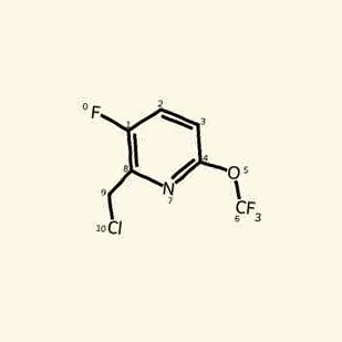 Fc1ccc(OC(F)(F)F)nc1CCl